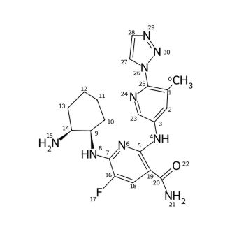 Cc1cc(Nc2nc(N[C@@H]3CCCC[C@@H]3N)c(F)cc2C(N)=O)cnc1-n1ccnn1